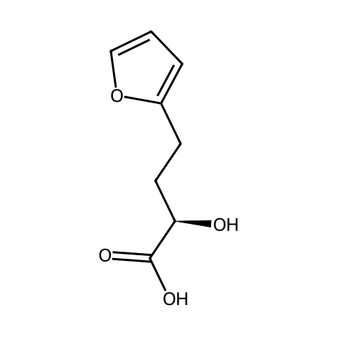 O=C(O)[C@H](O)CCc1ccco1